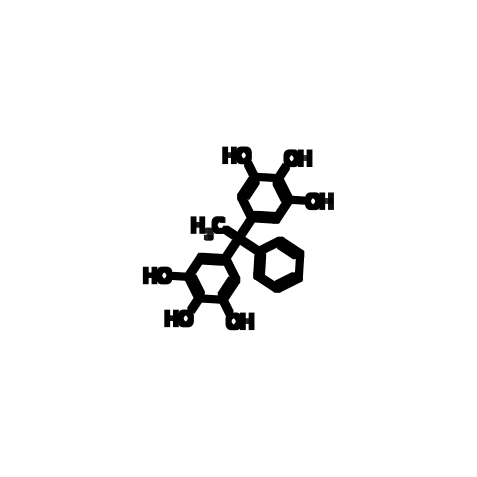 CC(c1ccccc1)(c1cc(O)c(O)c(O)c1)c1cc(O)c(O)c(O)c1